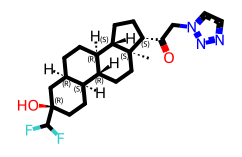 C[C@]12CC[C@H]3[C@@H](CC[C@@H]4C[C@@](O)(C(F)F)CC[C@@H]43)[C@@H]1CC[C@@H]2C(=O)Cn1ccnn1